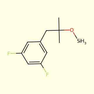 CC(C)(Cc1cc(F)cc(F)c1)O[SiH3]